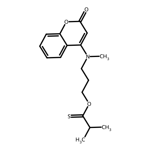 CC(C)C(=S)OCCCN(C)c1cc(=O)oc2ccccc12